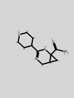 NC(=O)C12CC1CN=C(C1CCOCC1)S2